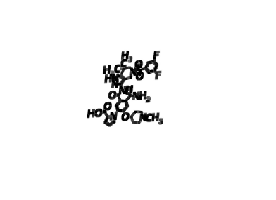 CN1CCC(Oc2cc(C(N)=O)c(C(=O)Nc3n[nH]c4c3CN(S(=O)(=O)c3cc(F)cc(F)c3)CC4(C)C)cc2-n2cccc2C(=O)O)CC1